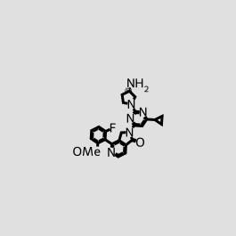 COc1cccc(F)c1-c1nccc2c1CN(c1cc(C3CC3)nc(N3CC[C@@H](N)C3)n1)C2=O